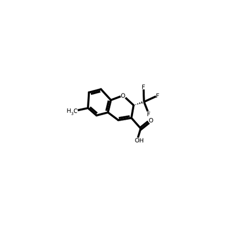 Cc1ccc2c(c1)C=C(C(=O)O)[C@@H](C(F)(F)F)O2